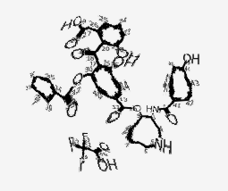 O=C(N[C@@H]1CNCCC[C@H]1OC(=O)c1cc(O)c(C(=O)c2c(O)cccc2C(=O)O)c(OC(=O)c2ccccc2)c1)c1ccc(O)cc1.O=C(O)C(F)(F)F